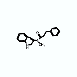 CN(C(=O)CCc1ccccc1)C1=Cc2ccccc2NC1